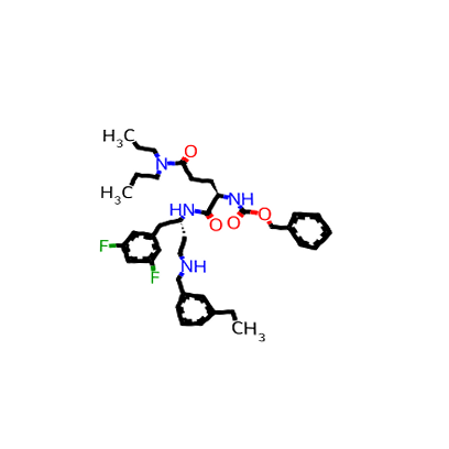 CCCN(CCC)C(=O)CC[C@@H](NC(=O)OCc1ccccc1)C(=O)N[C@H](CCNCc1cccc(CC)c1)Cc1cc(F)cc(F)c1